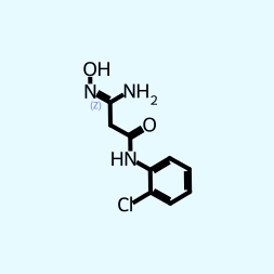 N/C(CC(=O)Nc1ccccc1Cl)=N\O